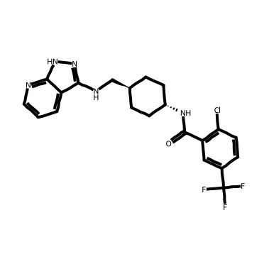 O=C(N[C@H]1CC[C@H](CNc2n[nH]c3ncccc23)CC1)c1cc(C(F)(F)F)ccc1Cl